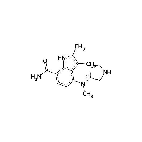 Cc1[nH]c2c(C(N)=O)ccc(N(C)[C@@H]3CCNC3)c2c1C